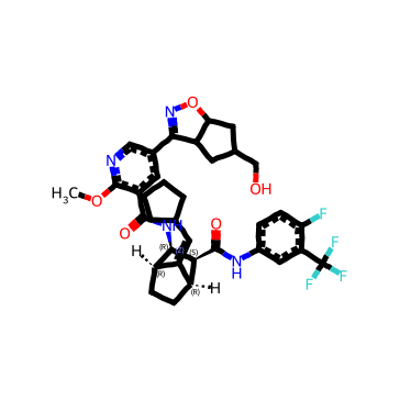 COc1ncc(C2=NOC3CC(CO)CC23)cc1C(=O)N[C@H]1[C@@H](C(=O)Nc2ccc(F)c(C(F)(F)F)c2)[C@H]2CC[C@@H]1/C2=C\C1CCCC1